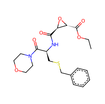 CCOC(=O)[C@H]1O[C@@H]1C(=O)N[C@@H](CSCc1ccccc1)C(=O)N1CCOCC1